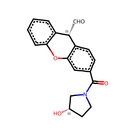 O=C[C@H]1c2ccccc2Oc2cc(C(=O)N3CC[C@H](O)C3)ccc21